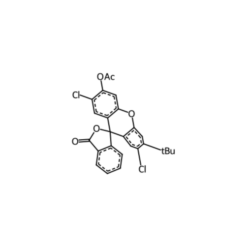 CC(=O)Oc1cc2c(cc1Cl)C1(OC(=O)c3ccccc31)c1cc(Cl)c(C(C)(C)C)cc1O2